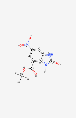 Cn1c(=O)[nH]c2cc([N+](=O)[O-])cc(C(=O)OC(C)(C)C)c21